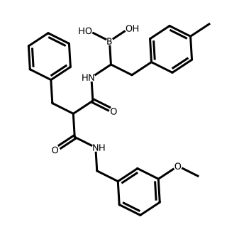 COc1cccc(CNC(=O)C(Cc2ccccc2)C(=O)NC(Cc2ccc(C)cc2)B(O)O)c1